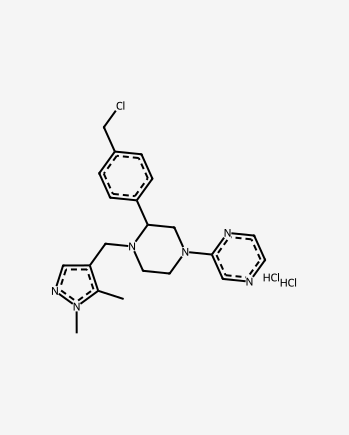 Cc1c(CN2CCN(c3cnccn3)CC2c2ccc(CCl)cc2)cnn1C.Cl.Cl